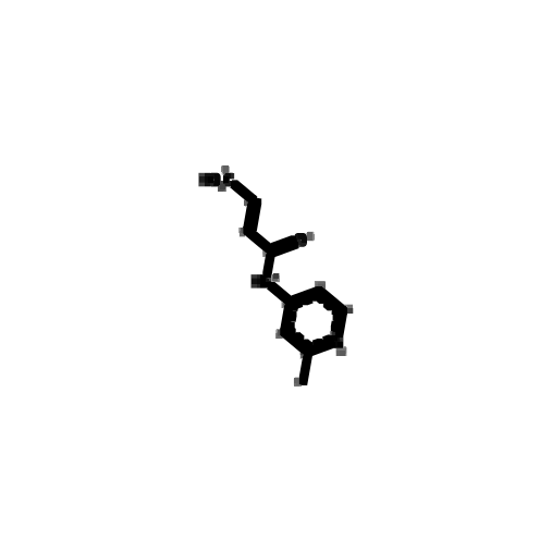 Cc1cc(NC(=O)C=CC(=O)O)ccn1